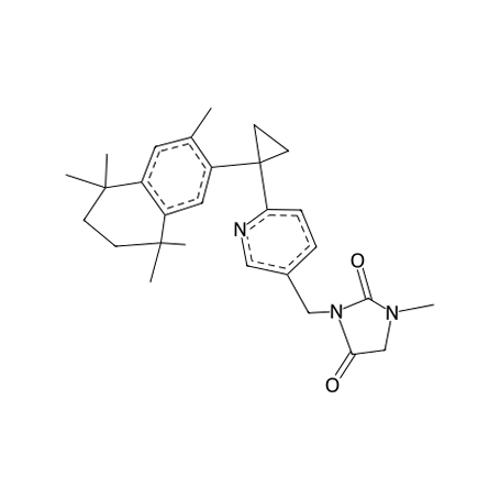 Cc1cc2c(cc1C1(c3ccc(CN4C(=O)CN(C)C4=O)cn3)CC1)C(C)(C)CCC2(C)C